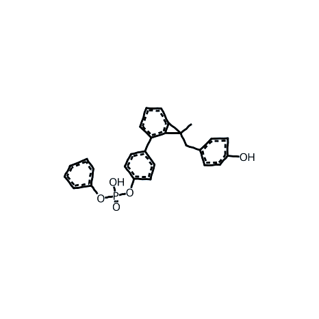 CC1(Cc2ccc(O)cc2)c2cccc(-c3ccc(OP(=O)(O)Oc4ccccc4)cc3)c21